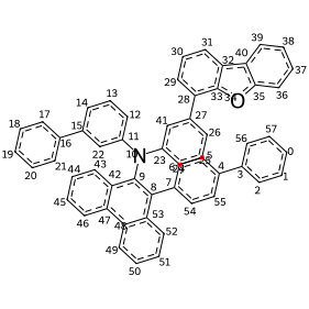 c1ccc(-c2ccc(-c3c(N(c4cccc(-c5ccccc5)c4)c4cccc(-c5cccc6c5oc5ccccc56)c4)c4ccccc4c4ccccc34)cc2)cc1